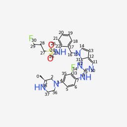 C[C@H]1CN(c2ccc(Nc3ncc4ccn(Cc5ccccc5NS(=O)(=O)CCCF)c4n3)c(F)c2)CCN1